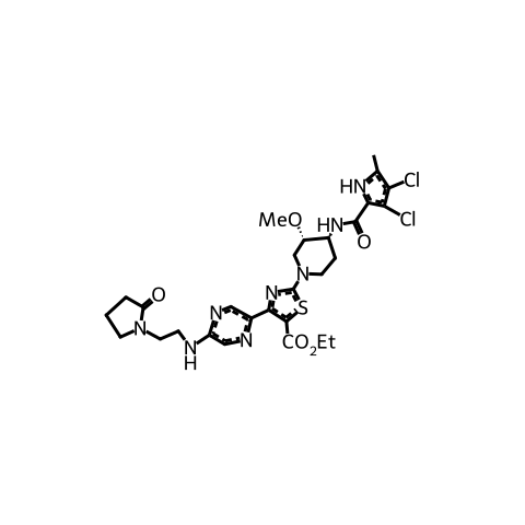 CCOC(=O)c1sc(N2CC[C@@H](NC(=O)c3[nH]c(C)c(Cl)c3Cl)[C@@H](OC)C2)nc1-c1cnc(NCCN2CCCC2=O)cn1